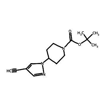 C#Cc1cnn(C2CCN(C(=O)OC(C)(C)C)CC2)c1